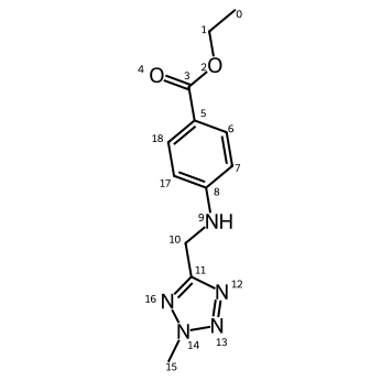 CCOC(=O)c1ccc(NCc2nnn(C)n2)cc1